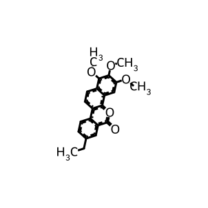 CCc1ccc2c(c1)c(=O)oc1c3cc(OC)c(OC)c(OC)c3ccc21